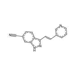 N#Cc1ccc2c(/C=C/c3cccnc3)n[nH]c2c1